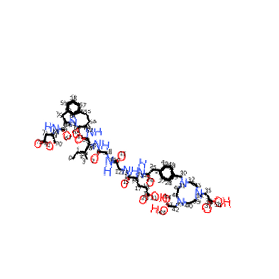 CC[C@H](C)[C@H](NC(=O)CNC(=O)CNC(=O)[C@H](CCC(=O)O)NC(=O)Cc1ccc(CN2CCN(CC(=O)O)CCN(CC(=O)O)CC2)cc1)C(=O)N[C@H]1CCc2cccc3c2N(C1=O)[C@H](C(=O)NC1COC(=O)C1)C3